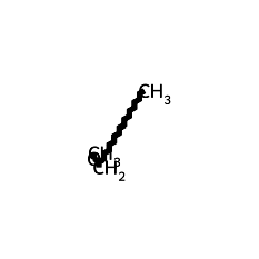 [CH2]C(CCCCCCCC=CCCCCCCCC)OC